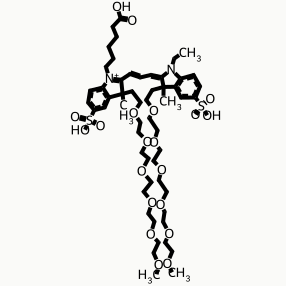 CCN1/C(=C/C=C/C2=[N+](CCCCCC(=O)O)c3ccc(S(=O)(=O)O)cc3C2(C)CCOCCOCCOCCOCCOCCOC)C(C)(CCOCCOCCOCCOCCOCCOC)c2cc(S(=O)(=O)O)ccc21